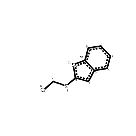 ClCSc1cc2ccccc2s1